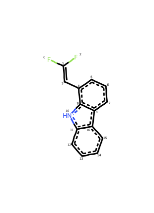 FC(F)=Cc1cccc2c1[nH]c1ccccc12